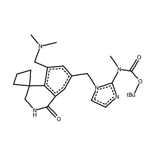 CN(C)Cc1cc(Cn2ccnc2N(C)C(=O)OC(C)(C)C)cc2c1C1(CCC1)CNC2=O